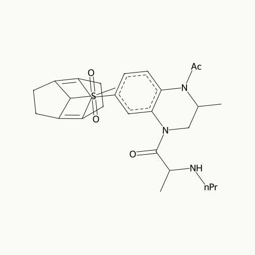 CCCNC(C)C(=O)N1CC(C)N(C(C)=O)c2ccc(C3C4=C5CCC(=C3CC4)C5S(C)(=O)=O)cc21